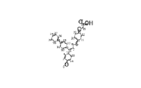 COc1ccc(C(=CCSc2ccc(OCC(=O)O)cc2)c2ccc(-c3ccccc3)cc2)cc1